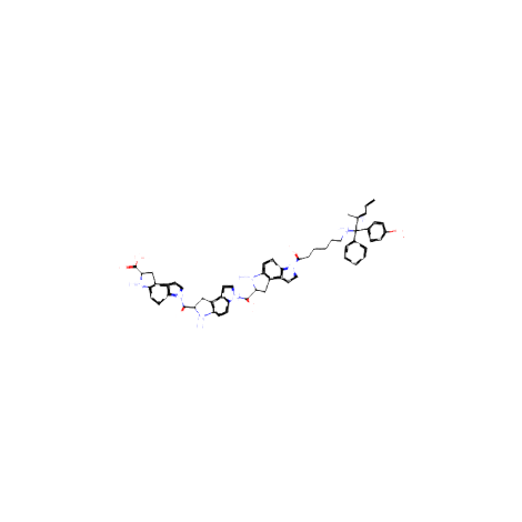 C=C/C=C(\C)C(NCCCCCC(=O)n1ccc2c3c(ccc21)NC(C(=O)n1ccc2c4c(ccc21)NC(C(=O)n1ccc2c5c(ccc21)NC(C(=O)O)C5)C4)C3)(c1ccccc1)c1ccc(OC)cc1